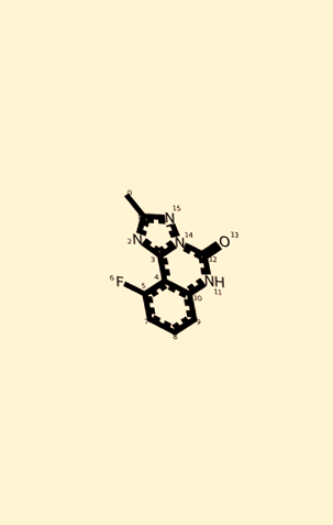 Cc1nc2c3c(F)cccc3[nH]c(=O)n2n1